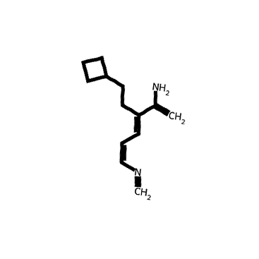 C=N/C=C\C=C(/CCC1CCC1)C(=C)N